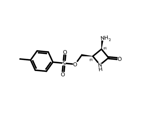 Cc1ccc(S(=O)(=O)OC[C@@H]2NC(=O)[C@@H]2N)cc1